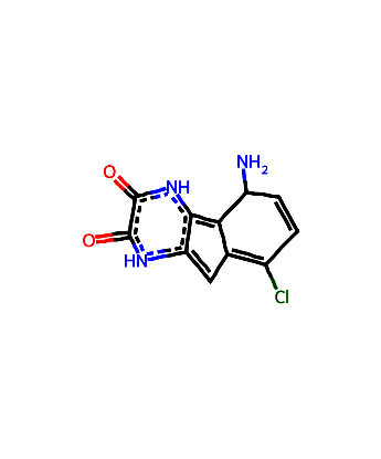 NC1C=CC(Cl)=C2C=c3[nH]c(=O)c(=O)[nH]c3=C21